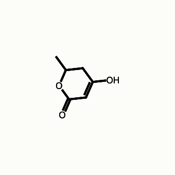 CC1CC(O)=CC(=O)O1